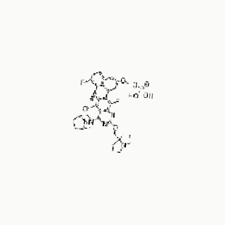 C#Cc1c(F)ccc2cc(OCOP(=O)(O)O)cc(-c3nc(Cl)c4c(N5CC6CCC(C5)N6)nc(OCC56CCCN5CCC6)nc4c3F)c12